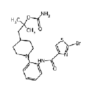 CC(C)(CC1CCN(c2ccccc2NC(=O)c2csc(Br)n2)CC1)OC(N)=O